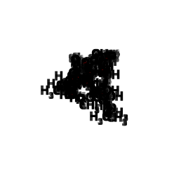 Cc1cc2ccc1Oc1cc3cc(c1O[C@@H]1O[C@H](CNC(=O)OC(C)(C)C)[C@@H](O)[C@H](O)[C@H]1O)Oc1ccc(cc1Cl)[C@@H](O)[C@@H]1NC(=O)[C@H](NC(=O)[C@@H]3NC(=O)[C@H](CC(=O)NC(=O)NCc3ccccc3)NC(=O)[C@H](NC(=O)[C@@H](CC(C)C)N(C)C(=O)OC(C)(C)C)[C@@H]2O)c2ccc(O)c(c2)-c2c(C)cc(O)cc2[C@@H](C(=O)NC2C3CC4CC(C3)CC2C4)NC1=O